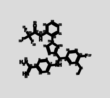 CCc1cc(C(Nc2ccc(C(=N)N)cc2)c2ccn(-c3ccccc3NC(=O)C(F)(F)F)n2)ccc1F